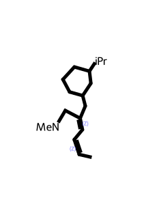 C/C=C\C=C(/CNC)CC1CCCC(C(C)C)C1